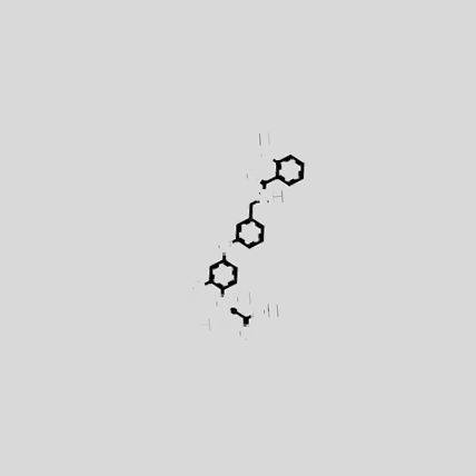 Cc1cc(Oc2cccc(CNC(=O)c3ccccc3C)c2)ccc1OC(C)(C)C(=O)O